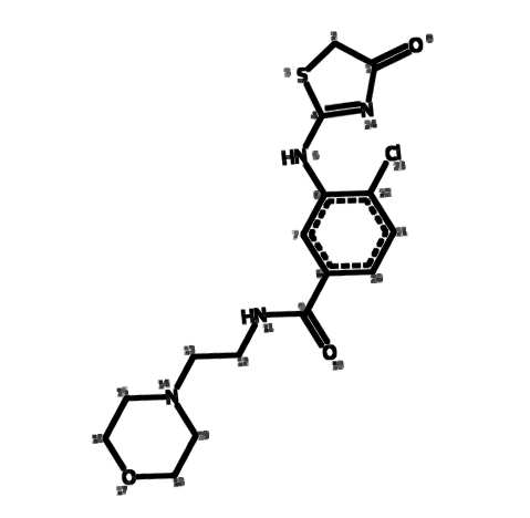 O=C1CSC(Nc2cc(C(=O)NCCN3CCOCC3)ccc2Cl)=N1